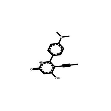 CC#Cc1c(O)cc(=O)[nH]c1-c1ccc(N(C)C)cc1